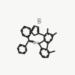 Cc1cc2c(c(C3=CC=CC3)c1C)[CH]([Zr+2]=[C](c1ccccc1)c1ccccc1)c1cccc(C)c1-2.[Cl-].[Cl-]